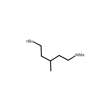 CCCCCCC(C)CCNC